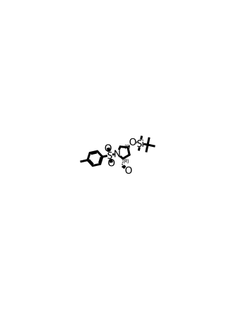 Cc1ccc(S(=O)(=O)N2C[C@@H](O[Si](C)(C)C(C)(C)C)C[C@@H]2C=O)cc1